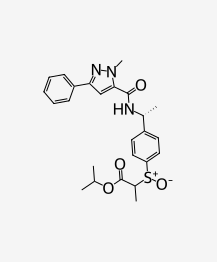 CC(C)OC(=O)C(C)[S+]([O-])c1ccc([C@@H](C)NC(=O)c2cc(-c3ccccc3)nn2C)cc1